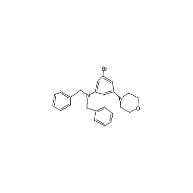 Brc1cc(N2CCOCC2)cc(N(Cc2ccccc2)Cc2ccccc2)c1